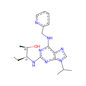 CC[C@H](Nc1nc(NCc2ccccn2)c2ncn(C(C)C)c2n1)[C@@H](C)O